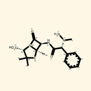 CN(N)[C@@H](C(=O)N[C@@H]1C(=O)N2[C@@H]1SC(C)(C)[C@@H]2C(=O)O)c1ccccc1